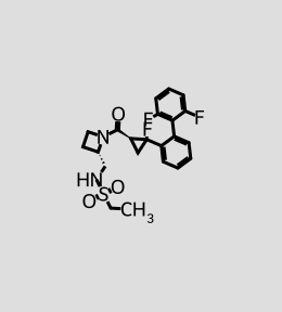 CCS(=O)(=O)NC[C@@H]1CCN1C(=O)[C@@H]1C[C@@]1(F)c1ccccc1-c1c(F)cccc1F